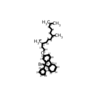 CC(C)CCCC(C)CCCC(C)CCOc1ccc2c(c1)C(Br)(c1ccccc1)C1=C2CC=CC=C1